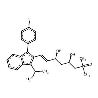 CC(C)n1c(/C=C/[C@@H](O)C[C@@H](O)CP(C)(C)=O)c(-c2ccc(F)cc2)c2ccccc21